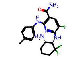 Cc1ccc(Nc2nc(N[C@H]3[C@@H](N)CCCC3(F)F)c(F)cc2C(N)=O)cc1